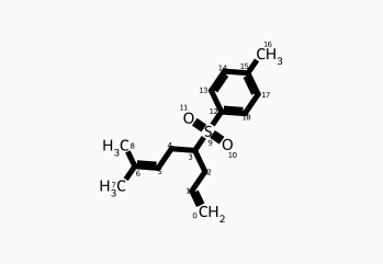 C=CCC(CC=C(C)C)S(=O)(=O)c1ccc(C)cc1